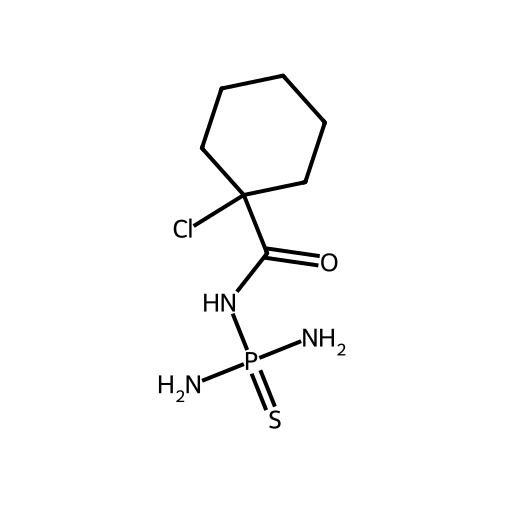 NP(N)(=S)NC(=O)C1(Cl)CCCCC1